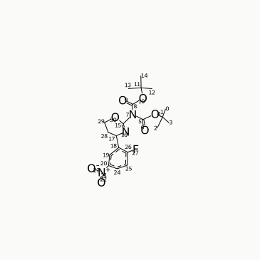 CC(C)(C)OC(=O)N(C(=O)OC(C)(C)C)C1=NC(c2cc([N+](=O)[O-])ccc2F)CCO1